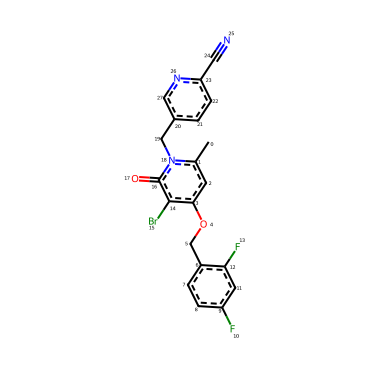 Cc1cc(OCc2ccc(F)cc2F)c(Br)c(=O)n1Cc1ccc(C#N)nc1